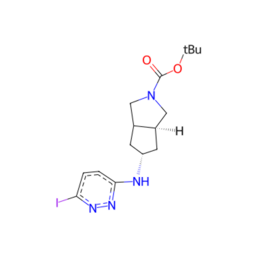 CC(C)(C)OC(=O)N1CC2C[C@@H](Nc3ccc(I)nn3)C[C@@H]2C1